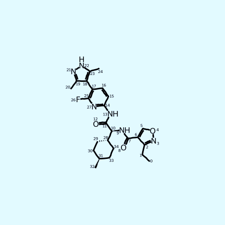 CCc1nocc1C(=O)N[C@H](C(=O)Nc1ccc(-c2c(C)n[nH]c2C)c(F)n1)[C@H]1CC[C@H](C)CC1